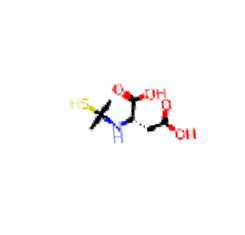 CC(C)(S)N[C@@H](CC(=O)O)C(=O)O